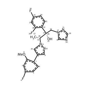 COc1cc(F)ccc1-c1cnn([C@H](C)[C@](O)(Cn2cncn2)c2ccc(F)cc2F)c1